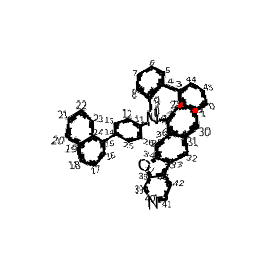 c1ccc(-c2ccccc2N(c2ccc(-c3cccc4ccccc34)cc2)c2cccc3cc4c(cc23)oc2cnccc24)cc1